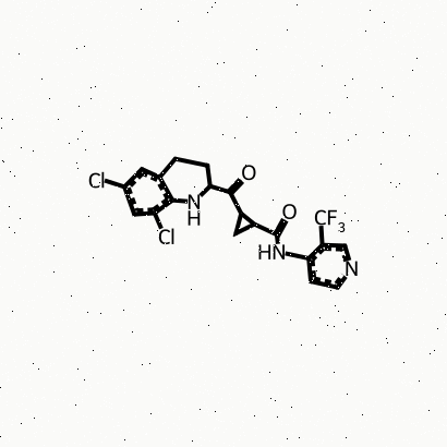 O=C(Nc1ccncc1C(F)(F)F)C1CC1C(=O)C1CCc2cc(Cl)cc(Cl)c2N1